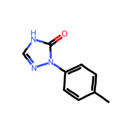 Cc1ccc(-n2nc[nH]c2=O)cc1